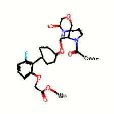 COC(=O)N1CCC2(COCC(=O)N2)C1COC1CCC(c2c(F)cccc2OCC(=O)OC(C)(C)C)CC1